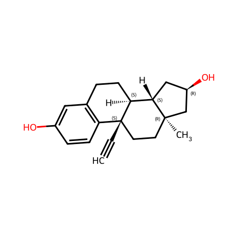 C#C[C@]12CC[C@]3(C)C[C@H](O)C[C@H]3[C@@H]1CCc1cc(O)ccc12